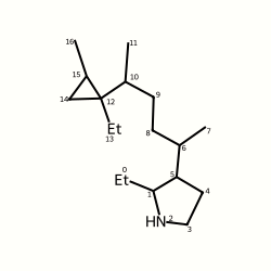 CCC1NCCC1C(C)CCC(C)C1(CC)CC1C